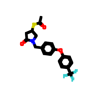 CC(=O)SC1CC(=O)N(Cc2ccc(Oc3ccc(C(F)(F)F)cc3)cc2)C1